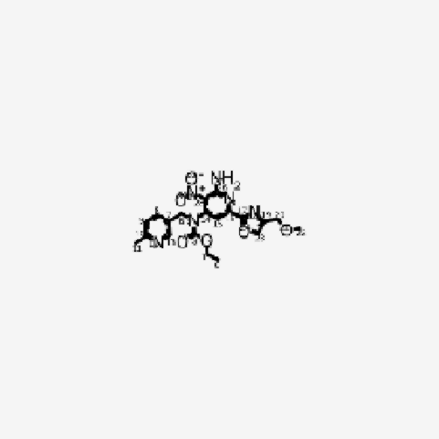 CCOC(=O)N(Cc1ccc(C)nc1)c1cc(-c2nc(COC)co2)nc(N)c1[N+](=O)[O-]